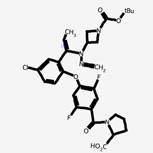 C=NN(/C(=C\C)c1cc(Cl)ccc1Oc1cc(F)c(C(=O)N2CCCC2C(=O)O)cc1F)C1CN(C(=O)OC(C)(C)C)C1